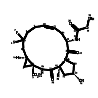 CCOC(=O)[C@@]12C[C@H]1CC(F)(F)CC/C=C\C[C@H](NC(=O)OC(C)(C)C)C(=O)N1C[C@H](O)C[C@H]1C(=O)N2